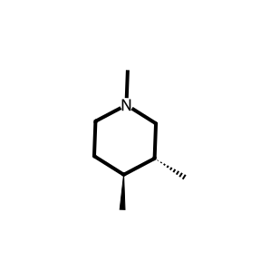 C[C@H]1CCN(C)C[C@@H]1C